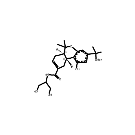 CCCCCCC(C)(C)c1cc(O)c2c(c1)OC(C)(C)[C@@H]1CC=C(C(=O)NC(CO)CO)C[C@@H]21